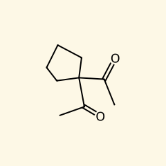 CC(=O)C1(C(C)=O)CCCC1